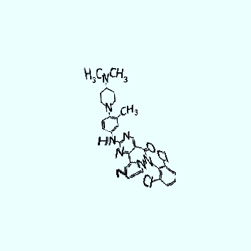 Cc1cc(Nc2ncc3c(=O)n(-c4c(Cl)cccc4Cl)n4ccnc4c3n2)ccc1N1CCC(N(C)C)CC1